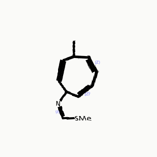 CS/C=N\C1C#CC(C)/C=C\C=C/1